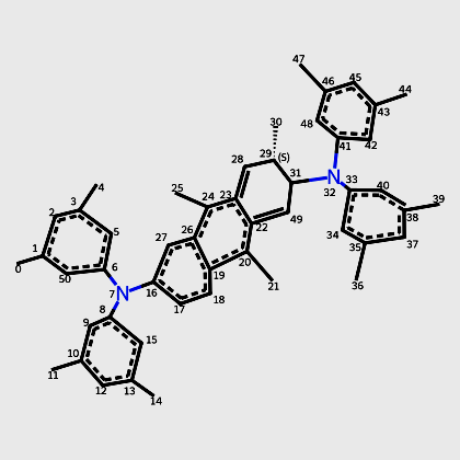 Cc1cc(C)cc(N(c2cc(C)cc(C)c2)c2ccc3c(C)c4c(c(C)c3c2)=C[C@H](C)C(N(c2cc(C)cc(C)c2)c2cc(C)cc(C)c2)C=4)c1